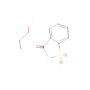 CCCO.O=C1NS(=O)(=O)c2ccccc21